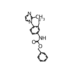 Cc1nccn1-c1ccc(NC(=O)OCc2ccccc2)cc1F